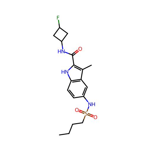 CCCCS(=O)(=O)Nc1ccc2[nH]c(C(=O)NC3CC(F)C3)c(C)c2c1